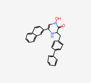 O=C1C(Cc2ccc(-c3ccccc3)cc2)NC(c2ccc3ccccc3c2)=CN1O